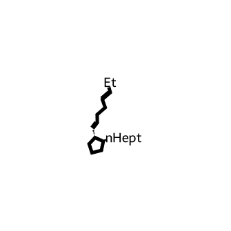 CC/C=C/CC/C=C/[C@H]1CCC[C@@H]1CCCCCCC